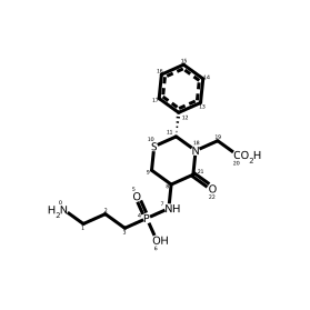 NCCCP(=O)(O)NC1CS[C@H](c2ccccc2)N(CC(=O)O)C1=O